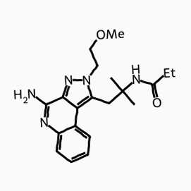 CCC(=O)NC(C)(C)Cc1c2c(nn1CCOC)c(N)nc1ccccc12